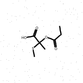 CCC(=O)OC(C)(SC)C(=O)O